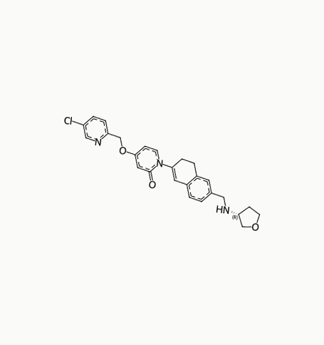 O=c1cc(OCc2ccc(Cl)cn2)ccn1C1=Cc2ccc(CN[C@@H]3CCOC3)cc2CC1